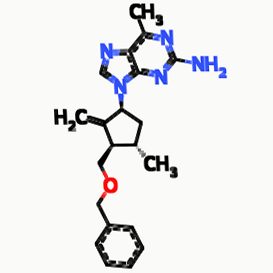 C=C1[C@H](COCc2ccccc2)[C@@H](C)C[C@@H]1n1cnc2c(C)nc(N)nc21